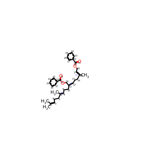 CC(C)=CCC/C(C)=C/CC/C(=C/CC/C(C)=C/COC(=O)c1ccccc1)COC(=O)c1ccccc1